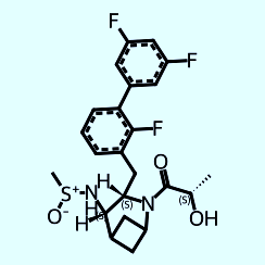 C[C@H](O)C(=O)N1C2CC(C2)[C@H](N[S+](C)[O-])[C@@H]1Cc1cccc(-c2cc(F)cc(F)c2)c1F